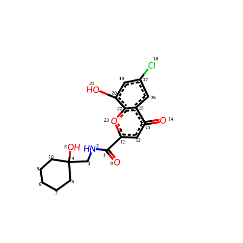 O=C(NCC1(O)CCCCC1)c1cc(=O)c2cc(Cl)cc(O)c2o1